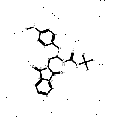 COc1ccc(C[C@@H](CN2C(=O)c3ccccc3C2=O)NC(=O)OC(C)(C)C)cc1